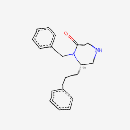 O=C1CNC[C@H](CCc2ccccc2)N1Cc1ccccc1